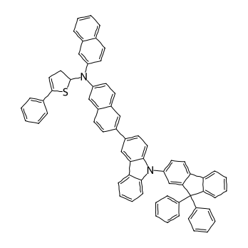 C1=C(c2ccccc2)SC(N(c2ccc3ccccc3c2)c2ccc3cc(-c4ccc5c(c4)c4ccccc4n5-c4ccc5c(c4)C(c4ccccc4)(c4ccccc4)c4ccccc4-5)ccc3c2)C1